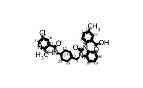 Cc1ccc(-n2c(=O)n(CC3CCC(NC(=O)c4cc(Cl)cnc4C)CC3)c3ccccc32)c(C(=O)O)c1